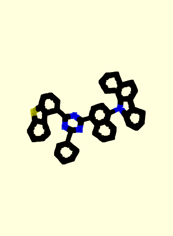 c1ccc(-c2nc(-c3ccc(-n4c5ccccc5c5ccc6ccccc6c54)c4ccccc34)nc(-c3cccc4sc5ccccc5c34)n2)cc1